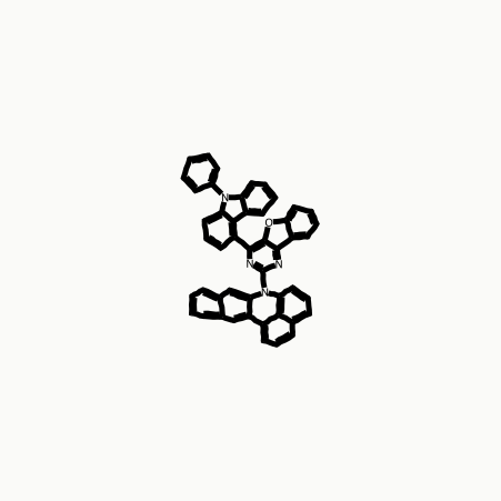 c1ccc(-n2c3ccccc3c3c(-c4nc(N5c6cc7ccccc7cc6-c6cccc7cccc5c67)nc5c4oc4ccccc45)cccc32)cc1